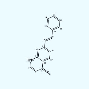 S=c1cc[nH]c2cc(C=Cc3ccccc3)ccc12